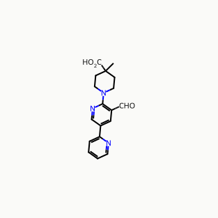 CC1(C(=O)O)CCN(c2ncc(-c3ccccn3)cc2C=O)CC1